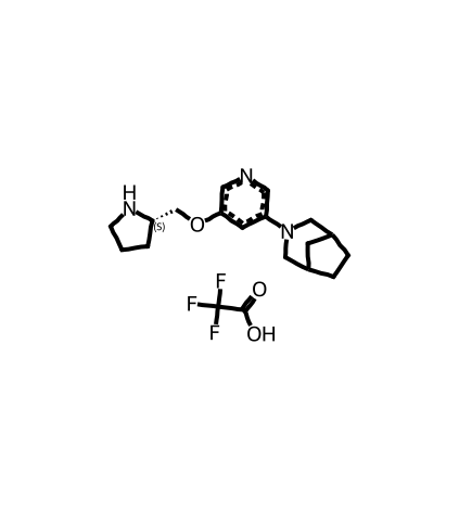 O=C(O)C(F)(F)F.c1ncc(N2CC3CCC(C3)C2)cc1OC[C@@H]1CCCN1